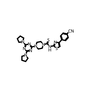 N#Cc1ccc(-c2csc(NC(=S)N3CCN(c4nc(N5CCCC5)nc(N5CCCC5)n4)CC3)n2)cc1